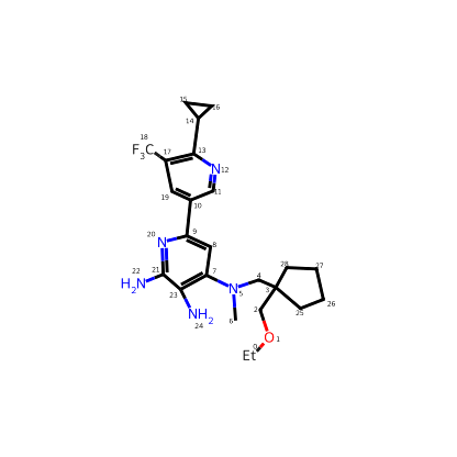 CCOCC1(CN(C)c2cc(-c3cnc(C4CC4)c(C(F)(F)F)c3)nc(N)c2N)CCCC1